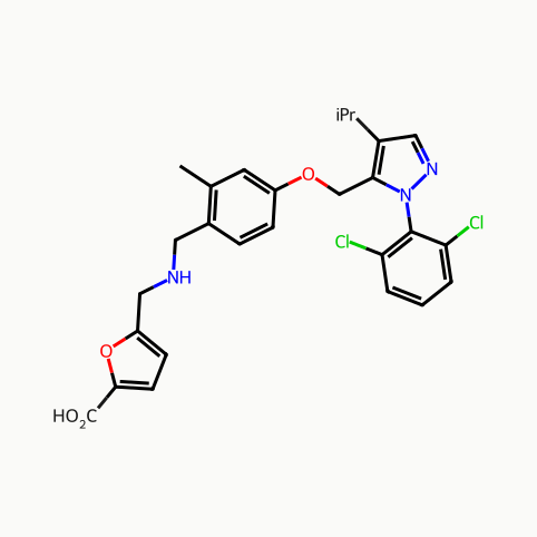 Cc1cc(OCc2c(C(C)C)cnn2-c2c(Cl)cccc2Cl)ccc1CNCc1ccc(C(=O)O)o1